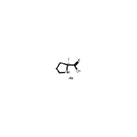 Br.C[C@@]1(C(=O)O)CCCN1